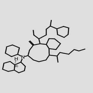 C=C1CC(N(C2CCCCC2)C2CCCC3CCCC[C@H]32)CCCC(C(C)CCCCC)C2CCCCC2C1C(CC)CCC(C)C1CCCCC1